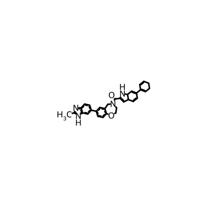 Cc1nc2ccc(-c3ccc4c(c3)CN(C(=O)C3=CC5C=CC(C6=CCCC=C6)=CC5N3)CCO4)cc2[nH]1